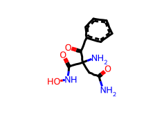 NC(=O)CC(N)(C(=O)NO)C(=O)c1ccccc1